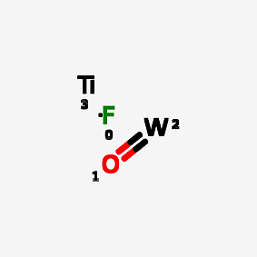 [F].[O]=[W].[Ti]